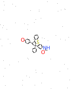 COc1ccc(C2=CC(c3ccccc3)(c3ccc(NC(C)=O)cc3)c3sc4ccccc4c32)cc1